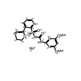 COc1cc(OC)nc(NC(=O)[N-]S(=O)(=O)c2ncccc2C2=NOCCO2)n1.[Na+]